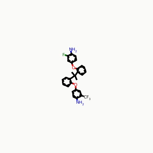 CC(C)(c1ccccc1Oc1ccc(N)c(F)c1)c1ccccc1Oc1ccc(N)c(C(F)(F)F)c1